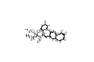 CC(C)(C)[S+]([O-])N=Cc1cc2ccccc2nc1-c1ccccc1